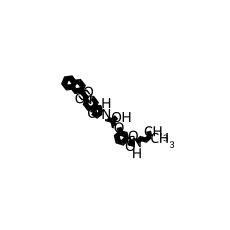 CC(C)CCNS(=O)(=O)c1cccc(OCC(O)CNC2COC3(CCN(S(=O)(=O)c4ccc5ccccc5c4)CC3)C2)c1